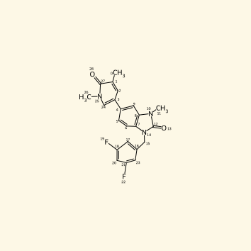 Cc1cc(-c2ccc3c(c2)n(C)c(=O)n3Cc2cc(F)cc(F)c2)cn(C)c1=O